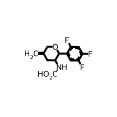 C=C1COC(c2cc(F)c(F)cc2F)C(NC(=O)O)C1